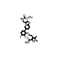 Cc1c(CCOc2c(-c3ccc4ncc(CN(C)C(=O)OC(C)(C)C)n4c3)ccc(F)c2F)c(C(=O)C(C)(C)C)nn1C